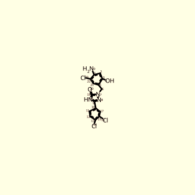 Nc1cc(O)c(Cn2nc(-c3ccc(Cl)c(Cl)c3)[nH]c2=O)cc1Cl